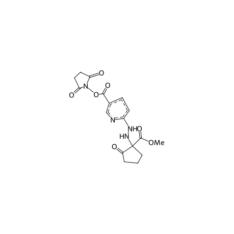 COC(=O)C1(NNc2ccc(C(=O)ON3C(=O)CCC3=O)cn2)CCCC1=O